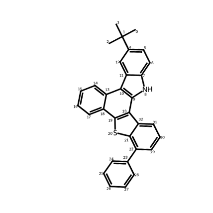 CC(C)(C)c1ccc2[nH]c3c(c2c1)c1ccccc1c1sc2c(-c4ccccc4)cccc2c31